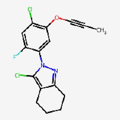 CC#COc1cc(-n2nc3c(c2Cl)CCCC3)c(F)cc1Cl